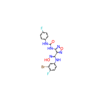 O=C(Nc1ccc(F)cc1)Nc1nonc1/C(=N/O)Nc1ccc(F)c(Br)c1